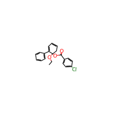 CCOC1(OC(=O)c2ccc(Cl)cc2)CC=CC=C1c1ccccc1